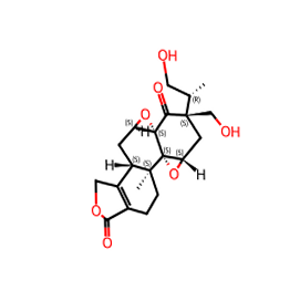 C[C@@H](CO)[C@]1(CO)C[C@@H]2O[C@@]23[C@@]2(C)CCC4=C(COC4=O)[C@@H]2C[C@@H]2O[C@@]23C1=O